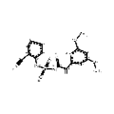 COc1cc(OC)nc(NC(=O)NS(=O)(=O)Nc2ccccc2C#N)n1